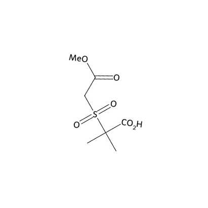 COC(=O)CS(=O)(=O)C(C)(C)C(=O)O